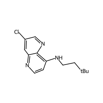 CC(C)(C)CCNc1ccnc2cc(Cl)cnc12